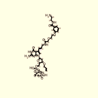 C=CCO[C@@H]1C[C@H](N2C=C(/C=C/CNC(=O)COCCOc3cccc(C(=O)NCCN)c3)C3C(=O)NC(N)=NC32)OC1COP(=O)(O)OP(=O)(O)OP(=O)(O)O